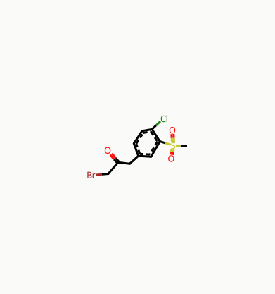 CS(=O)(=O)c1cc(CC(=O)CBr)ccc1Cl